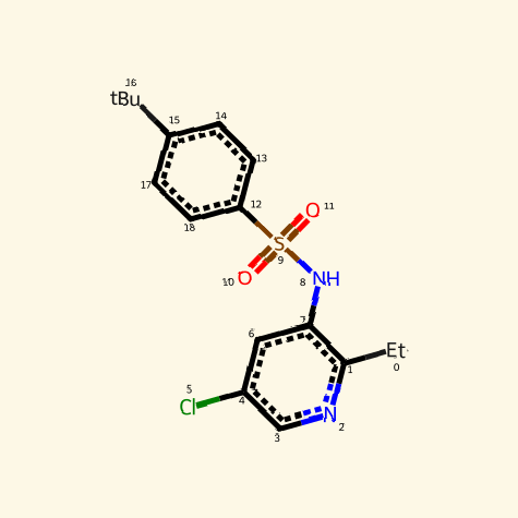 C[CH]c1ncc(Cl)cc1NS(=O)(=O)c1ccc(C(C)(C)C)cc1